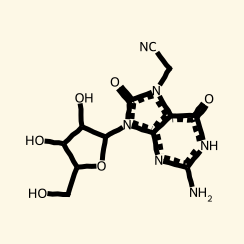 N#CCn1c(=O)n(C2OC(CO)C(O)C2O)c2nc(N)[nH]c(=O)c21